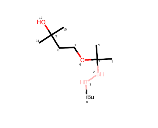 CCC(C)BBC(C)(C)OCCC(C)(C)O